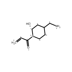 C=CC(=O)N1CCC(CN)CC1.Cl